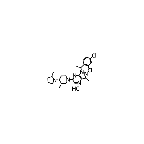 Cc1nn(C(C)c2ccc(Cl)cc2Cl)c2nc(N3CC[C@H](N4CCC[C@H]4C)[C@H](C)C3)cnc12.Cl